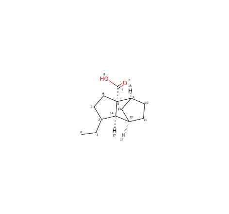 CCC1CC[C@@]2(C(=O)O)[C@H]3CC[C@H](C3)[C@@H]12